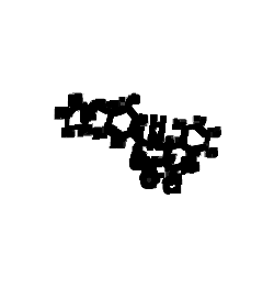 Cc1cc(CNc2c([N+](=O)[O-])c(Cl)nc3ccccc23)ccc1CN1CCCC1